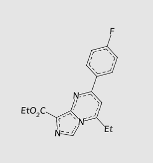 CCOC(=O)c1ncn2c(CC)cc(-c3ccc(F)cc3)nc12